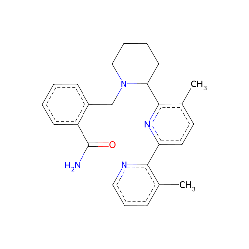 Cc1cccnc1-c1ccc(C)c(C2CCCCN2Cc2ccccc2C(N)=O)n1